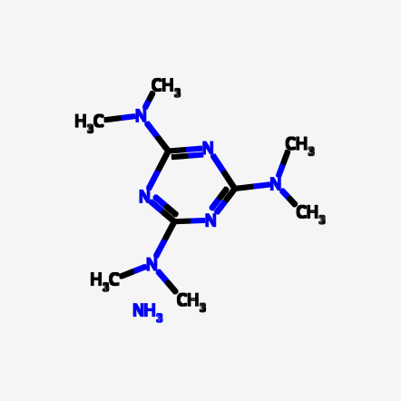 CN(C)c1nc(N(C)C)nc(N(C)C)n1.N